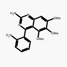 COc1cc2nc(N)nc(-c3ccccc3[N+](=O)[O-])c2c(OC)c1OC